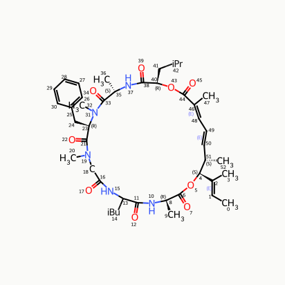 C/C=C(\C)[C@H]1OC(=O)[C@@H](C)NC(=O)C(C(C)CC)NC(=O)CN(C)C(=O)[C@@H](Cc2ccccc2)N(C)C(=O)[C@H](C)NC(=O)[C@@H](CC(C)C)OC(=O)/C(C)=C/C=C/[C@@H]1C